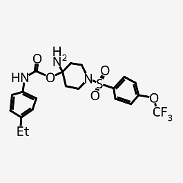 CCc1ccc(NC(=O)OC2(N)CCN(S(=O)(=O)c3ccc(OC(F)(F)F)cc3)CC2)cc1